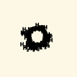 CCCC[C@H]1C(=O)N(C)[C@@H](CCCC)C(=O)N[C@@H](CCCNC(=N)N)C(=O)NC(C(=O)NCC(N)=O)CSCC(=O)N[C@@H](Cc2ccc(O)cc2)C(=O)N(C)[C@@H](C)C(=O)N[C@@H](CC(N)=O)C(=O)N2CCC[C@H]2C(=O)N[C@@H](CO)C(=O)N[C@@H](CCO)C(=O)N2CCC[C@H]2C(=O)N[C@@H](Cc2c[nH]c3ccccc23)C(=O)N[C@@H](CCO)C(=O)N[C@@H](Cc2c[nH]c3ccccc23)C(=O)N1C